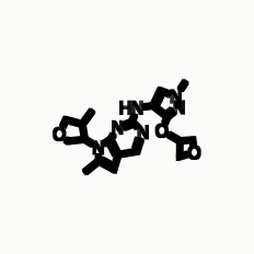 Cc1cc2cnc(Nc3cn(C)nc3OC3COC3)nc2n1C1COCC1C